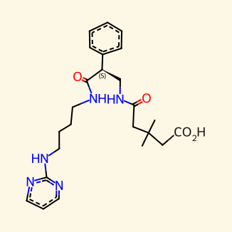 CC(C)(CC(=O)O)CC(=O)NC[C@@H](C(=O)NCCCCNc1ncccn1)c1ccccc1